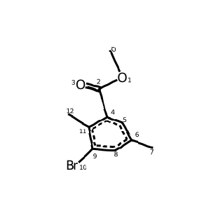 COC(=O)c1cc(C)cc(Br)c1C